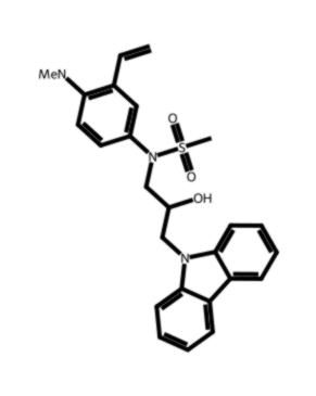 C=Cc1cc(N(CC(O)Cn2c3ccccc3c3ccccc32)S(C)(=O)=O)ccc1NC